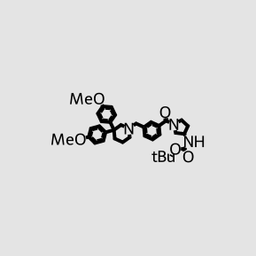 COc1ccc(C2(c3ccc(OC)cc3)CCCN(Cc3cccc(C(=O)N4CCC(NC(=O)OC(C)(C)C)C4)c3)C2)cc1